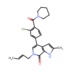 C/C=C/Cn1cc(-c2ccc(C(=O)N3CCCCC3)c(Cl)c2)c2cc(C)[nH]c2c1=O